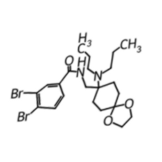 CCCN(CCC)C1(CNC(=O)c2ccc(Br)c(Br)c2)CCC2(CC1)OCCO2